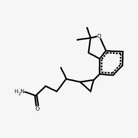 CC(CCC(N)=O)C1CC1c1cccc2c1CC(C)(C)O2